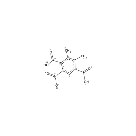 Cc1c(C(=O)O)cc([N+](=O)[O-])c(C(=O)O)c1C